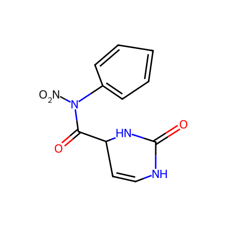 O=C1NC=CC(C(=O)N(c2ccccc2)[N+](=O)[O-])N1